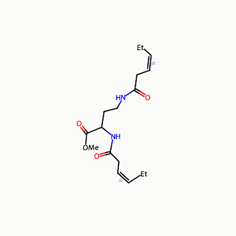 CC/C=C\CC(=O)NCCC(NC(=O)C/C=C\CC)C(=O)OC